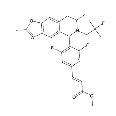 COC(=O)/C=C/c1cc(F)c(C2c3cc4nc(C)oc4cc3CC(C)N2CC(C)(C)F)c(F)c1